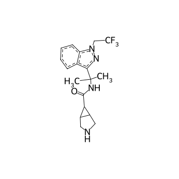 CC(C)(NC(=O)C1C2CNCC21)c1nn(CC(F)(F)F)c2ccccc12